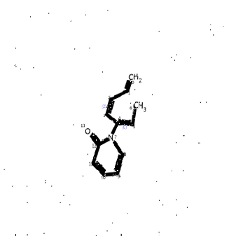 C=C/C=C\C(=C/C)n1ccccc1=O